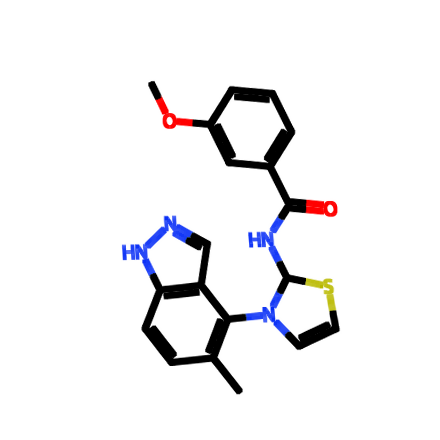 COc1cccc(C(=O)NC2SC=CN2c2c(C)ccc3[nH]ncc23)c1